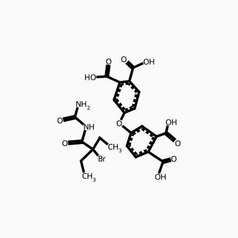 CCC(Br)(CC)C(=O)NC(N)=O.O=C(O)c1ccc(Oc2ccc(C(=O)O)c(C(=O)O)c2)cc1C(=O)O